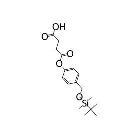 CC(C)(C)[Si](C)(C)OCc1ccc(OC(=O)CCC(=O)O)cc1